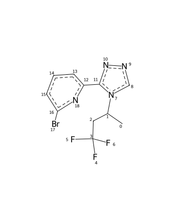 CC(CC(F)(F)F)n1cnnc1-c1cccc(Br)n1